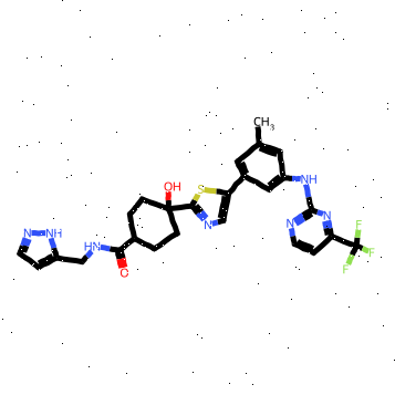 Cc1cc(Nc2nccc(C(F)(F)F)n2)cc(-c2cnc(C3(O)CCC(C(=O)NCc4ccn[nH]4)CC3)s2)c1